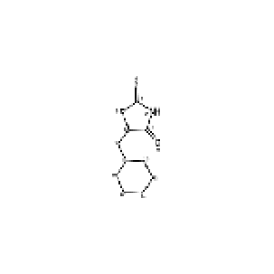 O=C1NC(=S)SC1CC1CCCCC1